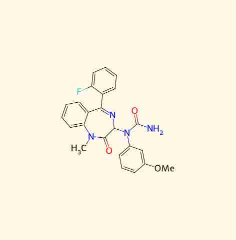 COc1cccc(N(C(N)=O)C2N=C(c3ccccc3F)c3ccccc3N(C)C2=O)c1